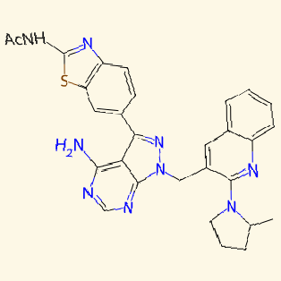 CC(=O)Nc1nc2ccc(-c3nn(Cc4cc5ccccc5nc4N4CCCC4C)c4ncnc(N)c34)cc2s1